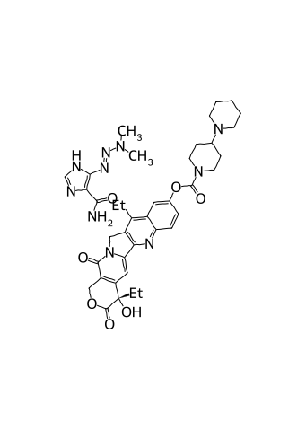 CCc1c2c(nc3ccc(OC(=O)N4CCC(N5CCCCC5)CC4)cc13)-c1cc3c(c(=O)n1C2)COC(=O)[C@]3(O)CC.CN(C)/N=N/c1[nH]cnc1C(N)=O